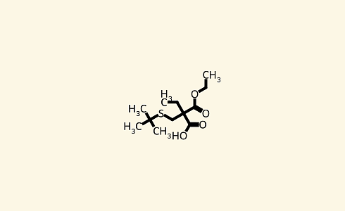 CCOC(=O)C(CC)(CSC(C)(C)C)C(=O)O